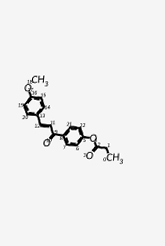 CCC(=O)Oc1ccc(C(=O)/C=C/c2ccc(OC)cc2)cc1